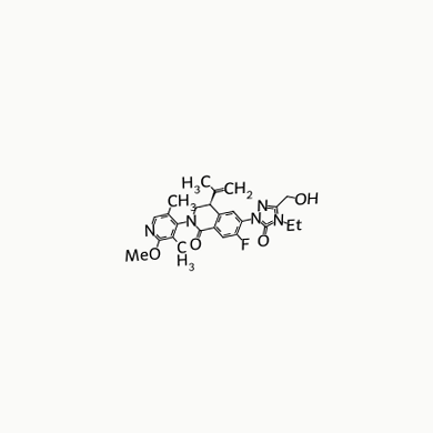 C=C(C)[C@@H]1CN(c2c(C)cnc(OC)c2C)C(=O)c2cc(F)c(-n3nc(CO)n(CC)c3=O)cc21